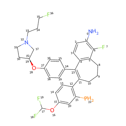 Nc1ccc2c(c1F)CCCC(c1ccc(OC(F)F)cc1P)=C2c1ccc(O[C@H]2CCN(CCCF)C2)cc1